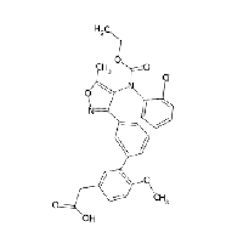 CCOC(=O)N(c1ccccc1Cl)c1c(-c2cccc(-c3cc(CC(=O)O)ccc3OC)c2)noc1C